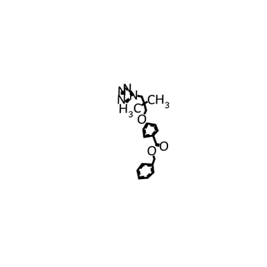 CC(C)(COc1ccc(C(=O)OCc2ccccc2)cc1)Cn1cnnn1